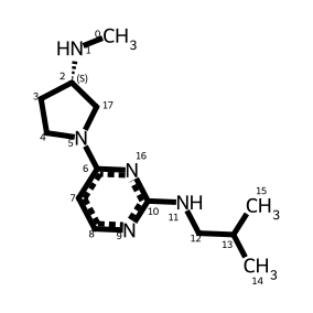 CN[C@H]1CCN(c2ccnc(NCC(C)C)n2)C1